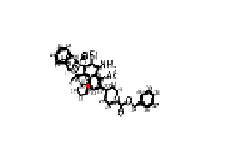 CCc1c(S(N)(=O)=O)c(C(C)(OCc2ccccc2)N2CCCC2)c2ccc(C3CCN(C(=O)OCc4ccccc4)CC3)c(C(C)=O)c2c1N